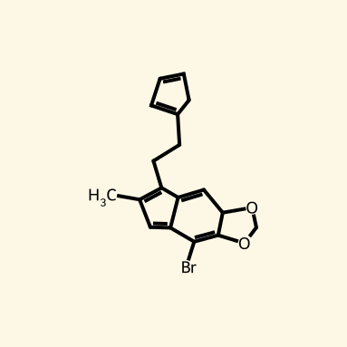 CC1=C(CCC2=CC=CC2)C2=CC3OCOC3=C(Br)C2=C1